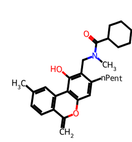 C=C1Oc2cc(CCCCC)c(CN(C)C(=O)C3CCCCC3)c(O)c2-c2cc(C)ccc21